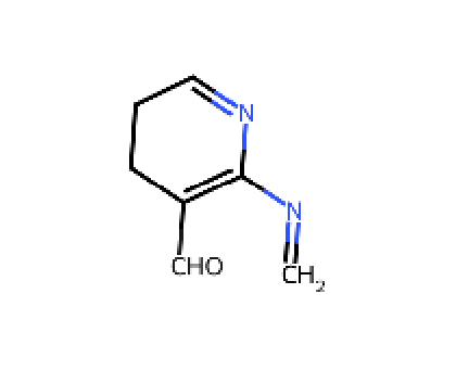 C=NC1=C(C=O)CCC=N1